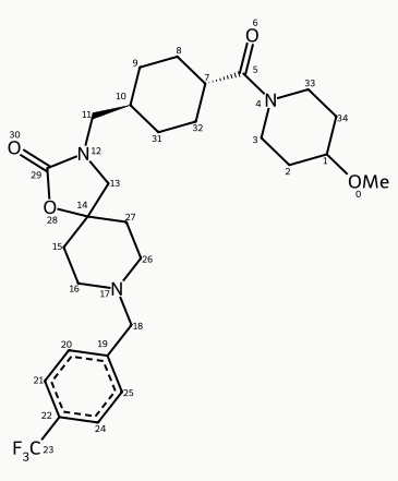 COC1CCN(C(=O)[C@H]2CC[C@H](CN3CC4(CCN(Cc5ccc(C(F)(F)F)cc5)CC4)OC3=O)CC2)CC1